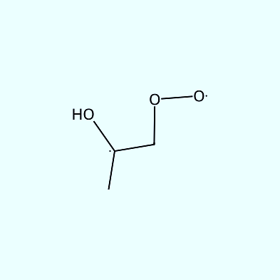 C[C](O)CO[O]